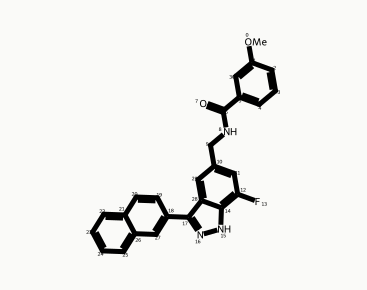 COc1cccc(C(=O)NCc2cc(F)c3[nH]nc(-c4ccc5ccccc5c4)c3c2)c1